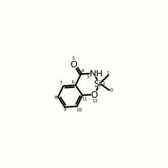 C[Si]1(C)NC(=O)c2ccccc2O1